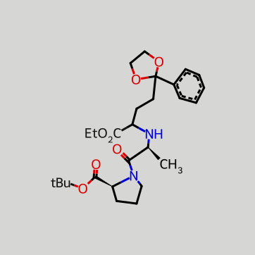 CCOC(=O)C(CCC1(c2ccccc2)OCCO1)N[C@@H](C)C(=O)N1CCC[C@H]1C(=O)OC(C)(C)C